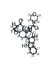 CC1(C)O[C@@]23CC[C@]4(C)[C@@]5(C)c6[nH]c7ccccc7c6C[C@@H]5C[C@H](OC(=O)N5CCOCC5)[C@@]4(O)C2=CC(=O)[C@@H]1O3